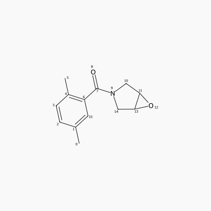 Cc1ccc(C)c(C(=O)N2CC3OC3C2)c1